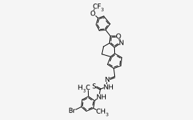 Cc1cc(Br)cc(C)c1NC(=S)NN=Cc1ccc2c(c1)CCc1c-2noc1-c1ccc(OC(F)(F)F)cc1